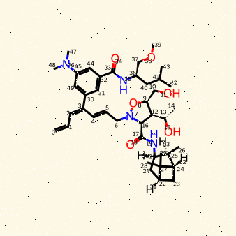 C=C/C=C(\C=C\CN1O[C@@H](CO)[C@@H]([C@H](C)O)[C@H]1C(=O)N[C@H]1C[C@H]2C[C@@H]([C@@H]1C)C2(C)C)c1cc(C(=O)N[C@@H](COC)CC(C)C)cc(N(C)C)c1